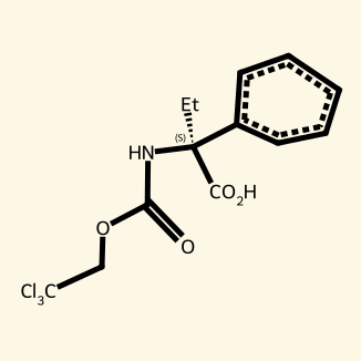 CC[C@@](NC(=O)OCC(Cl)(Cl)Cl)(C(=O)O)c1ccccc1